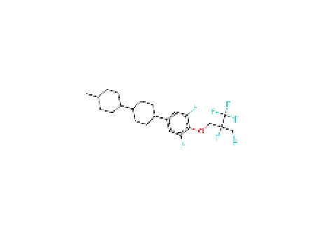 CC1CCC(C2CCC(c3cc(F)c(OCC(F)(CF)C(F)(F)F)c(F)c3)CC2)CC1